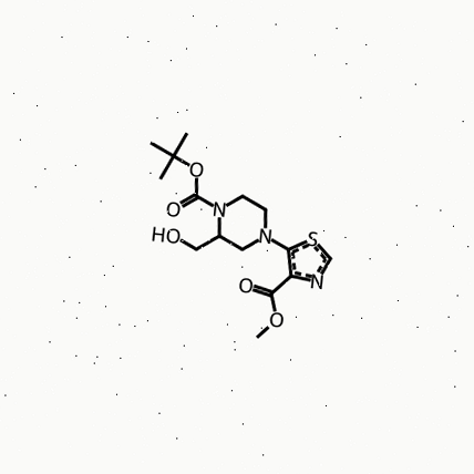 COC(=O)c1ncsc1N1CCN(C(=O)OC(C)(C)C)C(CO)C1